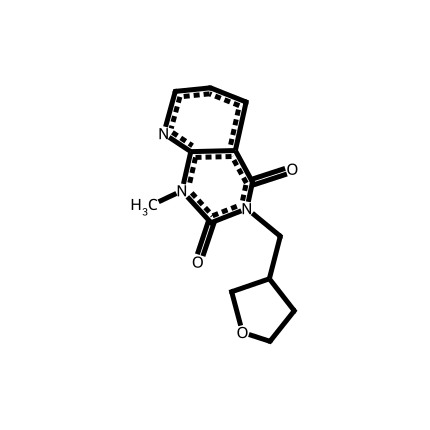 Cn1c(=O)n(CC2CCOC2)c(=O)c2cccnc21